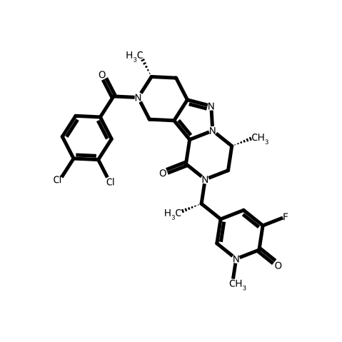 C[C@@H]1Cc2nn3c(c2CN1C(=O)c1ccc(Cl)c(Cl)c1)C(=O)N([C@@H](C)c1cc(F)c(=O)n(C)c1)C[C@H]3C